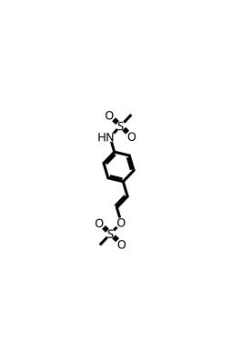 CS(=O)(=O)Nc1ccc(C=COS(C)(=O)=O)cc1